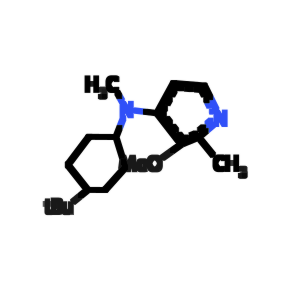 COc1c(N(C)C2CCC(C(C)(C)C)CC2)ccnc1C